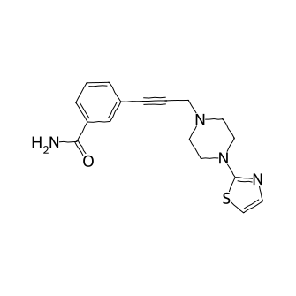 NC(=O)c1cccc(C#CCN2CCN(c3nccs3)CC2)c1